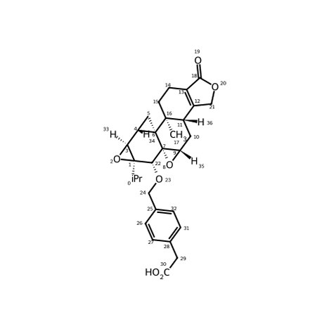 CC(C)[C@]12O[C@H]1[C@@H]1C[C@]13[C@]1(O[C@H]1C[C@H]1C4=C(CC[C@@]13C)C(=O)OC4)[C@@H]2OCc1ccc(CC(=O)O)cc1